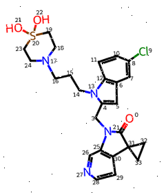 O=C1N(Cc2cc3cc(Cl)ccc3n2CCCN2CCS(O)(O)CC2)c2cnccc2C12CC2